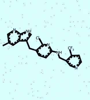 Cc1cnc2[nH]cc(Cc3ccc(NCc4cnccc4C(F)(F)F)nc3Cl)c2c1